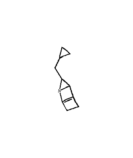 C1CC2=C1C1C(CC3CC3)N21